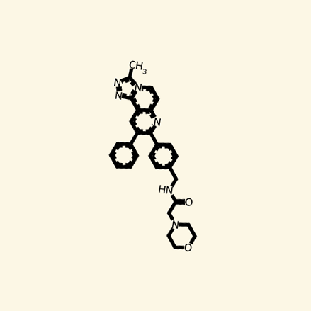 Cc1nnc2c3cc(-c4ccccc4)c(-c4ccc(CNC(=O)CN5CCOCC5)cc4)nc3ccn12